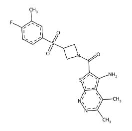 Cc1cc(S(=O)(=O)C2CN(C(=O)c3sc4nnc(C)c(C)c4c3N)C2)ccc1F